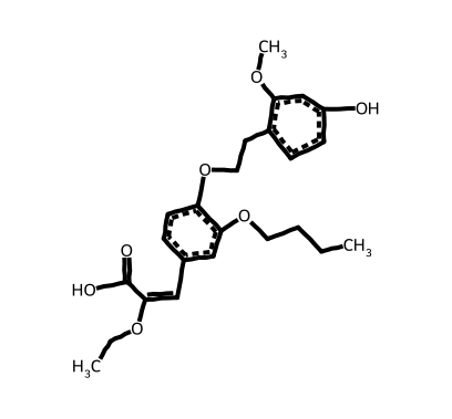 CCCCOc1cc(/C=C(/OCC)C(=O)O)ccc1OCCc1ccc(O)cc1OC